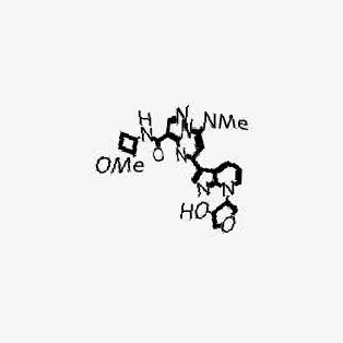 CNc1cc(-c2cnc3n([C@H]4COC[C@@H]4O)cccc2-3)nc2c(C(=O)N[C@H]3CC[C@@H]3OC)cnn12